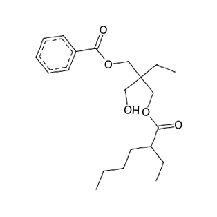 CCCCC(CC)C(=O)OCC(CC)(CO)COC(=O)c1ccccc1